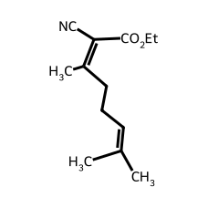 CCOC(=O)C(C#N)=C(C)CCC=C(C)C